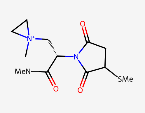 CNC(=O)[C@H](C[N+]1(C)CC1)N1C(=O)CC(SC)C1=O